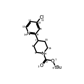 CC(C)(C)OC(=O)N1CCC(c2cc(Cl)ccn2)CC1